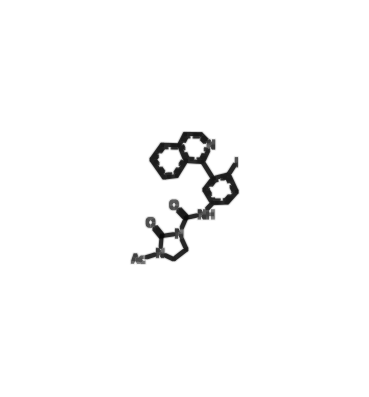 CC(=O)N1CCN(C(=O)Nc2ccc(I)c(-c3nccc4ccccc34)c2)C1=O